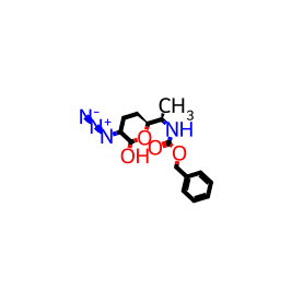 C[C@@H](NC(=O)OCc1ccccc1)[C@@H]1CCC(N=[N+]=[N-])C(O)O1